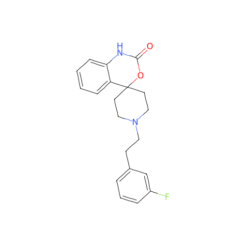 O=C1Nc2ccccc2C2(CCN(CCc3cccc(F)c3)CC2)O1